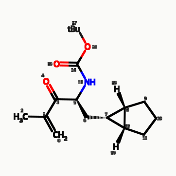 C=C(C)C(=O)[C@H](C[C@@H]1[C@@H]2CCC[C@@H]21)NC(=O)OC(C)(C)C